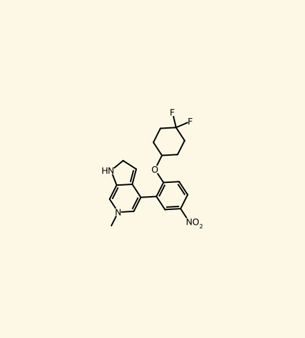 CN1C=C2NCC=C2C(c2cc([N+](=O)[O-])ccc2OC2CCC(F)(F)CC2)=C1